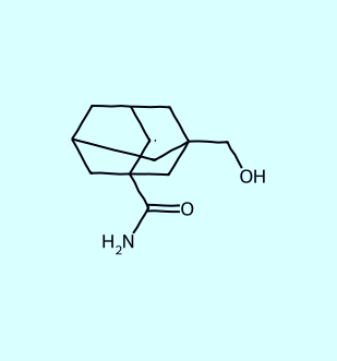 NC(=O)C12[CH]C3CC(CC(CO)(C3)C1)C2